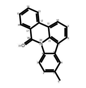 Cc1ccc2c(c1)c1cccc3c4ccccc4c(=O)n2c31